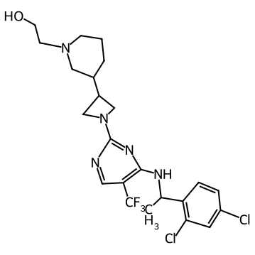 CC(Nc1nc(N2CC(C3CCCN(CCO)C3)C2)ncc1C(F)(F)F)c1ccc(Cl)cc1Cl